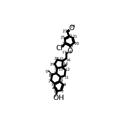 C[C@@H]1Cc2cc(O)ccc2C2CCC3(C)C(CCOc4ccc(C=O)cc4Cl)CCC3C21